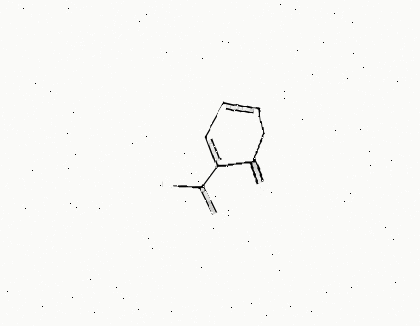 S=C(S)C1=CC=CCC1=S